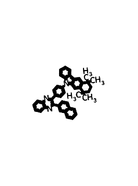 CC1(C)CCC(C)(C)c2cc3c(cc21)c1ccccc1n3-c1ccc(-c2nc3ccccc3nc2-c2ccc3ccccc3c2)cc1